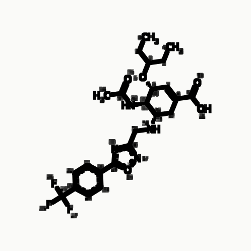 CCC(CC)O[C@@H]1C=C(C(=O)O)C[C@H](NCc2noc(-c3ccc(C(F)(F)F)cc3)n2)[C@H]1NC(C)=O